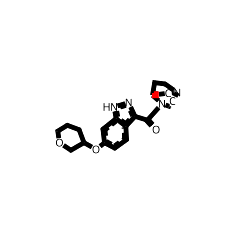 O=C(c1n[nH]c2cc(OC3CCCOC3)ccc12)N1CCN2CCC1CC2